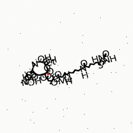 CC[C@H]1OC(=O)[C@H](C)[C@@H](O[C@H]2C[C@@](C)(OC)[C@@H](OC(=O)CCNCCCCCNC(=O)CCCCC3SCC4NC(=O)NC43)[C@H](C)O2)[C@H](C)[C@@H](O[C@@H]2O[C@H](C)C[C@H](N(C)C)[C@H]2O)[C@]2(O)C[C@@]2(C)CN(C)[C@H](C)[C@@H](O)[C@]1(C)O